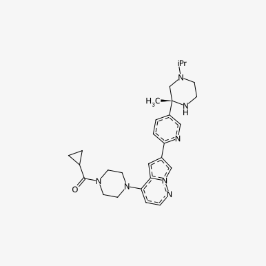 CC(C)N1CCN[C@](C)(c2ccc(-c3cc4c(N5CCN(C(=O)C6CC6)CC5)ccnn4c3)nc2)C1